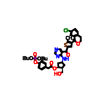 Cc1sc(C(=O)c2cncnc2N[C@@H]2C[C@H](CO)[C@@H](OC(=O)Cc3ccc(OP(=O)(OCC(C)C)OCC(C)C)cc3)C2)cc1[C@@H]1OCCc2ccc(Cl)cc21